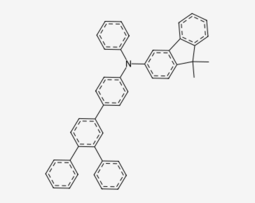 CC1(C)c2ccccc2-c2cc(N(c3ccccc3)c3ccc(-c4ccc(-c5ccccc5)c(-c5ccccc5)c4)cc3)ccc21